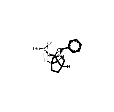 C[C@H](N[S@+]([O-])C(C)(C)C)[C@@H]1[C@@H]2CC[C@H]1CN(Cc1ccccc1)C2